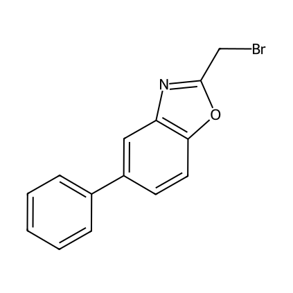 BrCc1nc2cc(-c3ccccc3)ccc2o1